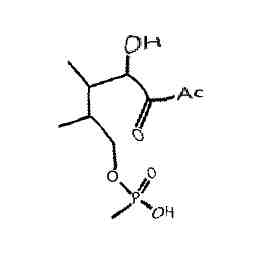 CC(=O)C(=O)C(O)C(C)C(C)COP(C)(=O)O